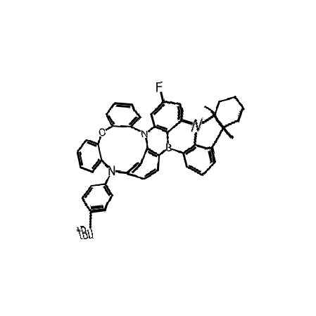 CC(C)(C)c1ccc(N2c3ccc4c(c3)N(c3ccccc3Oc3ccccc32)c2cc(F)cc3c2B4c2cccc4c2N3C2(C)CCCCC42C)cc1